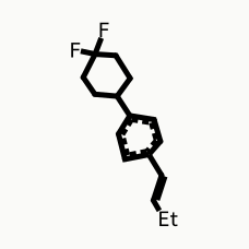 CCC=Cc1ccc(C2CCC(F)(F)CC2)cc1